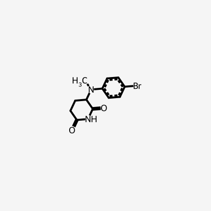 CN(c1ccc(Br)cc1)C1CCC(=O)NC1=O